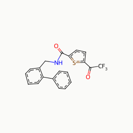 O=C(NCc1ccccc1-c1ccccc1)c1ccc(C(=O)C(F)(F)F)s1